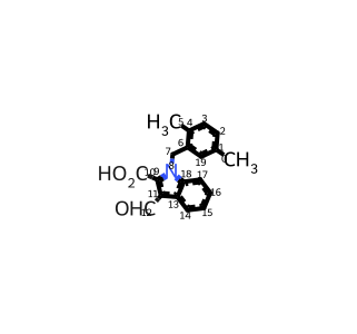 Cc1ccc(C)c(Cn2c(C(=O)O)c(C=O)c3ccccc32)c1